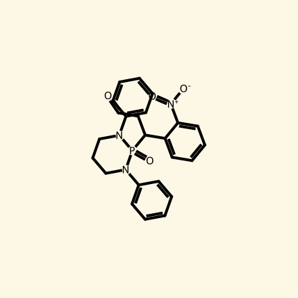 O=CCC(c1ccccc1[N+](=O)[O-])P1(=O)N(c2ccccc2)CCCN1c1ccccc1